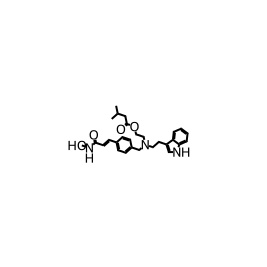 CC(C)CC(=O)OCCN(CCc1c[nH]c2ccccc12)Cc1ccc(/C=C/C(=O)NO)cc1